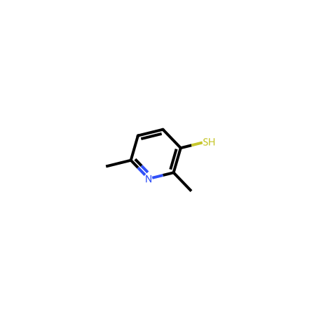 Cc1ccc(S)c(C)n1